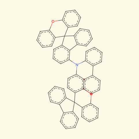 c1ccc(-c2ccccc2N(c2ccc3c(c2)Oc2ccccc2C32c3ccccc3-c3ccccc32)c2cccc3c2-c2ccccc2C32c3ccccc3Oc3ccccc32)cc1